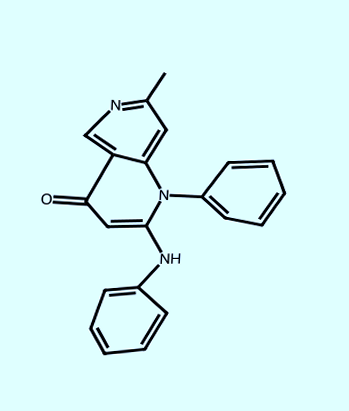 Cc1cc2c(cn1)c(=O)cc(Nc1ccccc1)n2-c1ccccc1